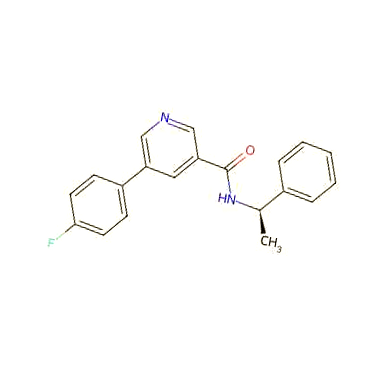 C[C@@H](NC(=O)c1cncc(-c2ccc(F)cc2)c1)c1ccccc1